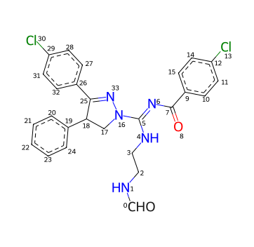 O=CNCCN/C(=N\C(=O)c1ccc(Cl)cc1)N1CC(c2ccccc2)C(c2ccc(Cl)cc2)=N1